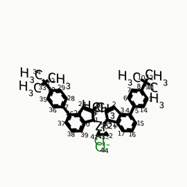 CC1=Cc2c(-c3ccc(C(C)(C)C)cc3)cccc2[CH]1[Zr+2]1([CH]2C(C)=Cc3c(-c4ccc(C(C)(C)C)cc4)cccc32)[CH2][CH2]1.[Cl-].[Cl-]